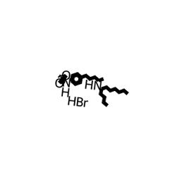 Br.CCCCCCC(CCCC)NC(C)CCCc1ccc(NS(C)(=O)=O)cc1